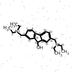 CCN(CC)Cc1ccc2c(c1)C(O)c1cc(CN(CC)CC)ccc1-2